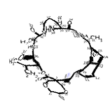 CC(C)C1OC(=O)C2(/C=C/c3ccc4ccc(nc4c3)[C@@H](C)NC(=O)[C@@H]3CCCN(N3)C(=O)[C@H](C)NC1=O)COCCOC2